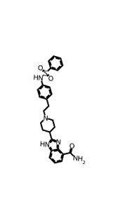 NC(=O)c1cccc2[nH]c(C3CCN(CCc4ccc(NS(=O)(=O)c5ccccc5)cc4)CC3)nc12